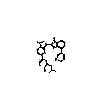 C=C/C(=C\C(=C/C)c1ccc2[nH]nc(-c3cc4c(C5=CNCC=C5)cccc4[nH]3)c2n1)CN(C)C